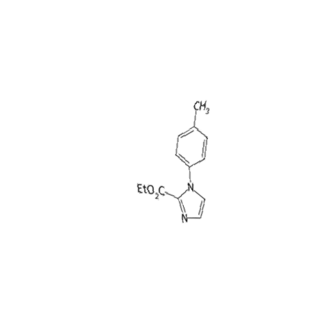 CCOC(=O)c1nccn1-c1ccc(C)cc1